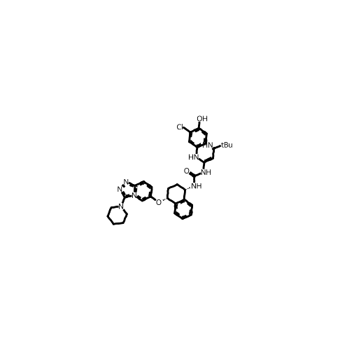 CC(C)(C)C(=N)/C=C(/NC(=O)N[C@H]1CC[C@@H](Oc2ccc3nnc(N4CCCCC4)n3c2)c2ccccc21)Nc1ccc(O)c(Cl)c1